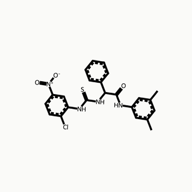 Cc1cc(C)cc(NC(=O)C(NC(=S)Nc2cc([N+](=O)[O-])ccc2Cl)c2ccccc2)c1